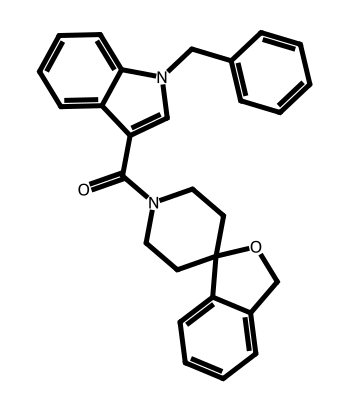 O=C(c1cn(Cc2ccccc2)c2ccccc12)N1CCC2(CC1)OCc1ccccc12